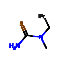 CC(C)CN(C)C(N)=S